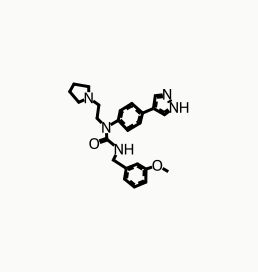 COc1cccc(CNC(=O)N(CCN2CCCC2)c2ccc(-c3cn[nH]c3)cc2)c1